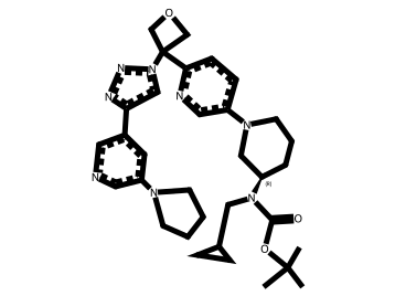 CC(C)(C)OC(=O)N(CC1CC1)[C@@H]1CCCN(c2ccc(C3(n4cc(-c5cncc(N6CCCC6)c5)nn4)COC3)nc2)C1